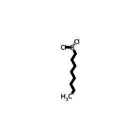 CCCCCCCCB(Cl)Cl